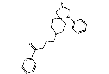 O=C(CCCN1CCC2(CC1)CNCN2c1ccccc1)c1ccccc1